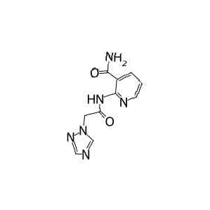 NC(=O)c1cccnc1NC(=O)Cn1cncn1